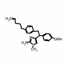 C=CCCCc1ccc(CC(c2ccc(OC)cc2)c2cn(C)c(N)n2)cc1